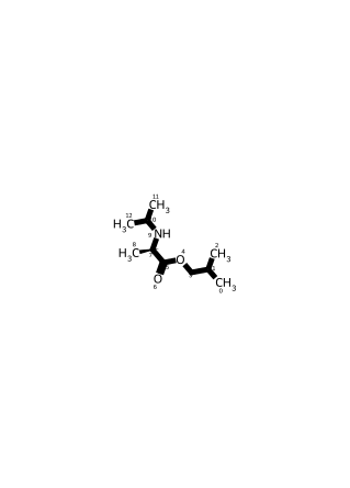 CC(C)COC(=O)[C@@H](C)NC(C)C